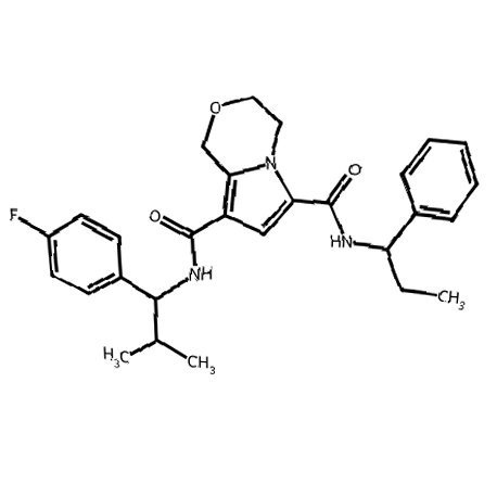 CCC(NC(=O)c1cc(C(=O)NC(c2ccc(F)cc2)C(C)C)c2n1CCOC2)c1ccccc1